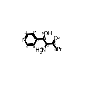 CC(C)C(=O)C(N)C(O)c1ccncc1